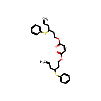 C=CCC(CCOC(=O)/C=C\C(=O)OCCC(CC=C)Sc1ccccc1)Sc1ccccc1